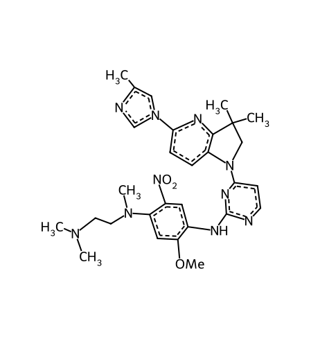 COc1cc(N(C)CCN(C)C)c([N+](=O)[O-])cc1Nc1nccc(N2CC(C)(C)c3nc(-n4cnc(C)c4)ccc32)n1